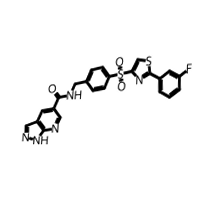 O=C(NCc1ccc(S(=O)(=O)c2csc(-c3cccc(F)c3)n2)cc1)c1cnc2[nH]ncc2c1